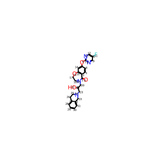 O=C1c2ccc(Oc3ncc(F)cn3)cc2OCCN1C[C@H](O)CN1CCc2ccccc2C1